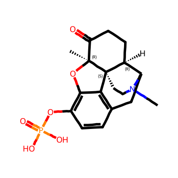 CN1CC[C@]23c4c5ccc(OP(=O)(O)O)c4O[C@@]2(C)C(=O)CC[C@H]3C1C5